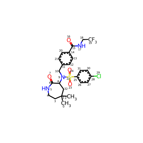 CC1(C)CCNC(=O)C(N(Cc2ccc(C(=O)NCC(F)(F)F)cc2)S(=O)(=O)c2ccc(Cl)cc2)C1